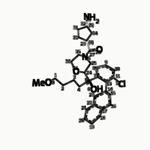 COCCCC[C@@](O)(c1cccc(Cl)c1-c1ccc2ccccc2c1)C1CN(C(=O)[C@@H]2CC[C@H](N)C2)CCO1